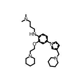 CN(C)CCCNc1ccc(-n2ccc(CN3CCCCC3)c2)cc1OCCN1CCCCC1